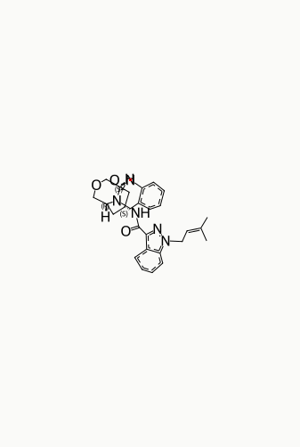 CC(C)=CCn1nc(C(=O)N[C@H]2C[C@H]3COC[C@@H](C2)N3Cc2ccccc2[N+](=O)[O-])c2ccccc21